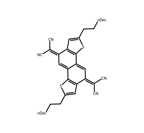 CCCCCCCCCCCCc1cc2c(=C(C#N)C#N)cc3c(cc(=C(C#N)C#N)c4cc(CCCCCCCCCCCC)sc43)c2s1